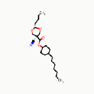 CCCCCCCC1CCC(OC(=O)[C@]2(C#N)CO[C@H](CCCC)OC2)CC1